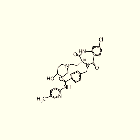 Cc1ccc(NC(=O)c2ccc(CN3C(=O)c4ccc(Cl)cc4NC(=O)[C@H]3CCN3CCC(O)CC3)cc2)nc1